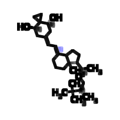 C[C@@H](OC[C@H](C)C(C)(C)C)C1CCC2/C(=C/C=C3C[C@@H](O)C4(CC4)[C@H](O)C3)CCCC21C